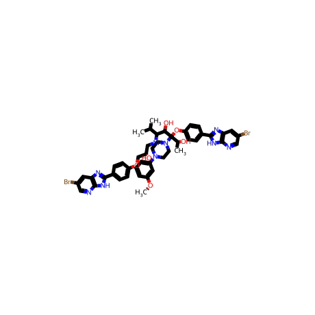 COc1cccc(N2CCN(C(Oc3ccc(-c4nc5cc(Br)cnc5[nH]4)cc3)(C(C)O)C(O)C(NCC(O)COc3ccc(-c4nc5cc(Br)cnc5[nH]4)cc3)C(C)C)CC2)c1